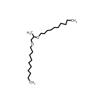 CCCCCCCCCCOCC(C)OCCCCCCCCCC